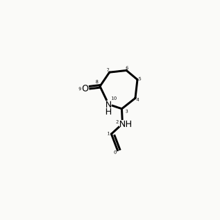 C=CNC1CCCCC(=O)N1